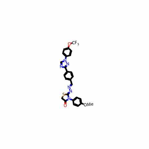 COc1ccc(N2C(=O)CS/C2=N\N=C\c2ccc(-c3ncn(-c4ccc(OC(F)(F)F)cc4)n3)cc2)cc1